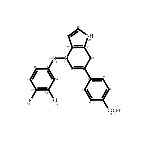 CCOC(=O)c1ccc(C2=CN(Nc3ccc(F)c(Cl)c3)c3cc[nH]c3C2)cc1